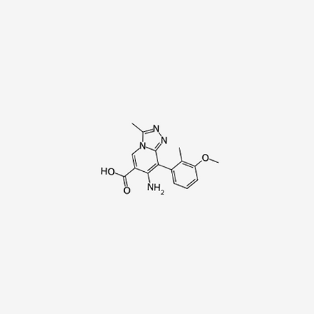 COc1cccc(-c2c(N)c(C(=O)O)cn3c(C)nnc23)c1C